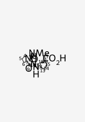 CNC(=O)N1CCCC1C(=O)NNc1cccc(C(=O)O)c1